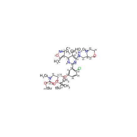 Cc1noc(C)c1-c1nc(-c2cc(OC[C@@H](CN(C)C(=O)OC(C)(C)C)O[Si](C)(C)C(C)(C)C)ccc2Cl)nc(NCC2COCCN2C(=O)O)c1C